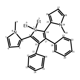 CC[Si]1(CC)C(c2cccn2C)=C(c2ccccc2)C(c2ccccc2)=C1c1cccn1C